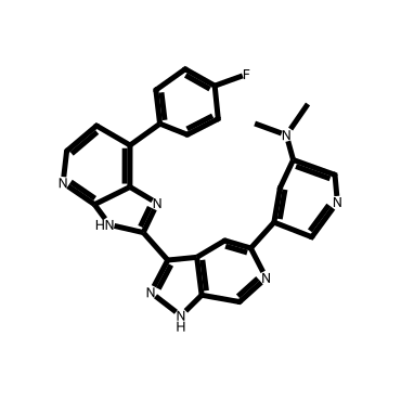 CN(C)c1cncc(-c2cc3c(-c4nc5c(-c6ccc(F)cc6)ccnc5[nH]4)n[nH]c3cn2)c1